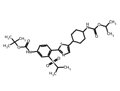 CC(C)OC(=O)NC1CCC(c2cnc(-c3ccc(NC(=O)OC(C)(C)C)cc3S(=O)(=O)C(C)C)s2)CC1